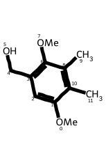 COc1cc(CO)c(OC)c(C)c1C